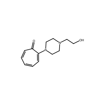 O=c1cccccc1N1CCN(CCO)CC1